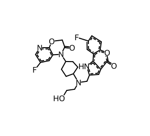 O=C1COc2ncc(F)cc2N1C1CCC(N(CCO)Cc2cc3c(=O)oc4ccc(F)cc4c3[nH]2)CC1